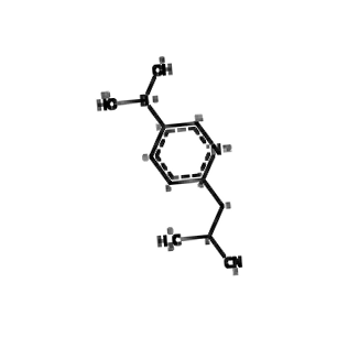 CC(C#N)Cc1ccc(B(O)O)cn1